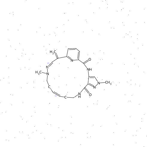 C=C1/C=N\N(C)CC/C=C\CCNC(=O)c2nn(C)cc2NC(=O)c2cccc1n2